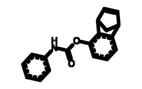 O=C(Nc1ccccc1)Oc1cccc2c1C1C=CC2C1